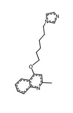 Cc1cc(OCCCCCCn2ccnc2)c2ccccc2n1